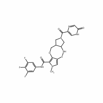 Cn1cc2c(c1C(=O)Nc1cc(F)c(F)c(F)c1)OCC1CN(C(=O)c3c[nH]c(=O)cn3)CC1NS2